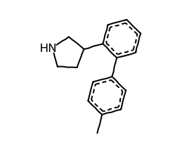 Cc1ccc(-c2ccccc2C2CCNC2)cc1